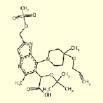 C=CCOC1(C)CCN(c2c(C(OC(C)(C)C)C(=O)O)c(C)nc3cc(COS(C)(=O)=O)nn23)CC1